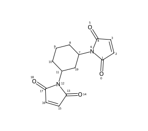 O=C1C=CC(=O)N1C1C[CH]CC(N2C(=O)C=CC2=O)C1